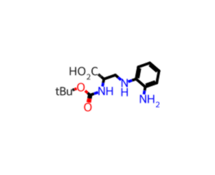 CC(C)(C)OC(=O)NC(CNc1ccccc1N)C(=O)O